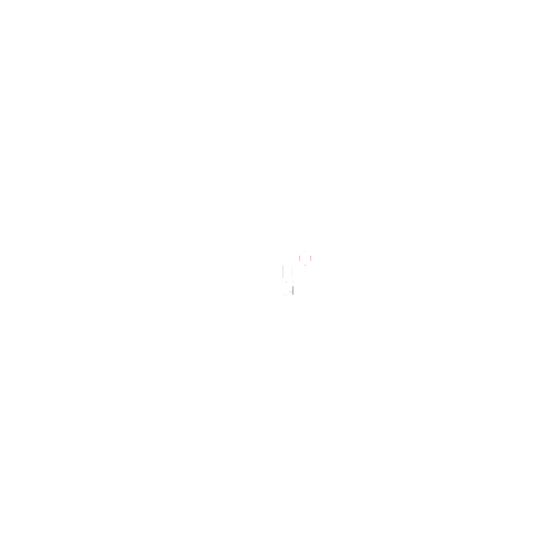 CO[SiH](C)C(C)C